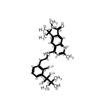 Cc1nc(NCCc2cccc(C(F)(F)C(C)(C)O)c2F)c2cc3c(cc2n1)C(=O)N(C)C3(C)C